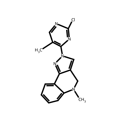 Cc1cnc(Cl)nc1-n1cc2c(n1)-c1ccccc1N(C)C2